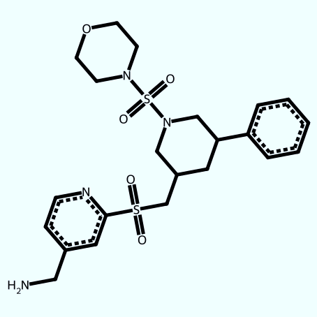 NCc1ccnc(S(=O)(=O)CC2CC(c3ccccc3)CN(S(=O)(=O)N3CCOCC3)C2)c1